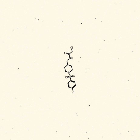 O=C(CCl)NCC1CCN(S(=O)(=O)c2ccc(F)cc2)CC1